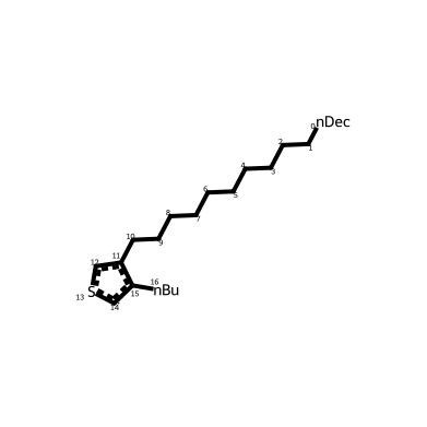 CCCCCCCCCCCCCCCCCCCCc1cs[c]c1CCCC